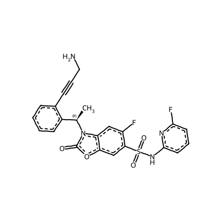 C[C@H](c1ccccc1C#CCN)n1c(=O)oc2cc(S(=O)(=O)Nc3cccc(F)n3)c(F)cc21